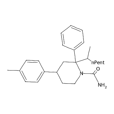 CCCCCC(C)C1(c2ccccc2)CC(c2ccc(C)cc2)CCN1C(N)=O